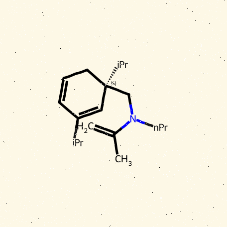 C=C(C)N(CCC)C[C@@]1(C(C)C)C=C(C(C)C)C=CC1